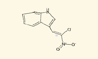 O=[N+]([O-])/C(Cl)=C/c1c[nH]c2ccccc12